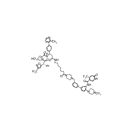 Cc1cc(C(C(=O)N2C[C@H](O)C[C@H]2C(=O)NC(CC(=O)NCCCCCCC(=O)N2CCN(Cc3cccc(-c4ccc(N5CCN(C)CC5)c(NC(=O)c5c[nH]c(=O)cc5C(F)(F)F)c4)c3)CC2)c2ccc(-c3scnc3C)cc2)C(C)C)on1